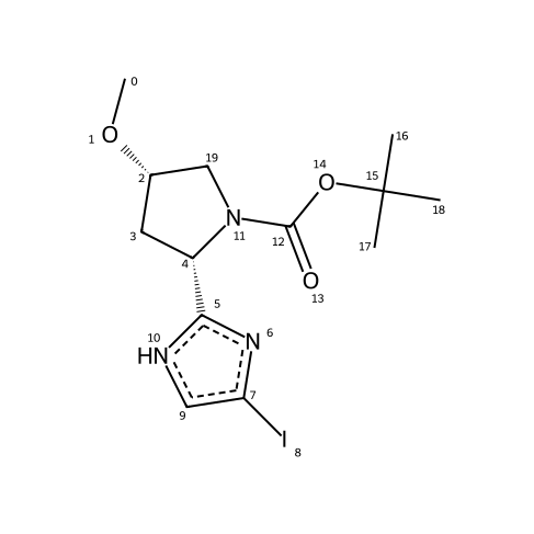 CO[C@H]1C[C@@H](c2nc(I)c[nH]2)N(C(=O)OC(C)(C)C)C1